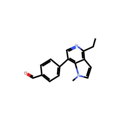 CCc1ncc(-c2ccc(C=O)cc2)c2c1ccn2C